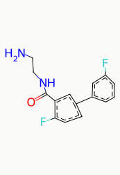 NCCNC(=O)c1cc(-c2cccc(F)c2)ccc1F